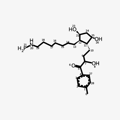 Cc1ccc(C(=O)C(O)CC[C@@H]2[C@@H](CCCCCCCNP)[C@@H](O)C[C@H]2O)cc1